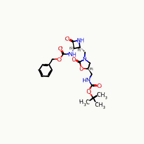 CC(C)(C)OC(=O)NC[C@@H]1CN(C[C@H]2NC(=O)[C@H]2NC(=O)OCc2ccccc2)C(=O)O1